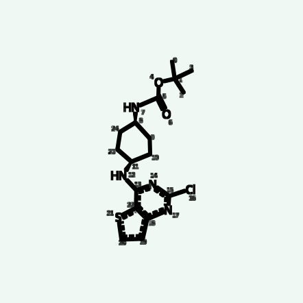 CC(C)(C)OC(=O)N[C@H]1CC[C@@H](Nc2nc(Cl)nc3ccsc23)CC1